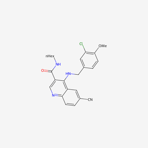 CCCCCCNC(=O)c1cnc2ccc(C#N)cc2c1NCc1ccc(OC)c(Cl)c1